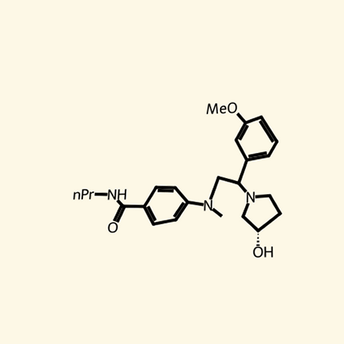 CCCNC(=O)c1ccc(N(C)CC(c2cccc(OC)c2)N2CC[C@H](O)C2)cc1